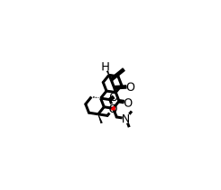 C=C1C(=O)C23CC[C@H]1CC2[C@@]12CCC[C@@](C)(COC1=O)C2C(CN(C)C)C3=O